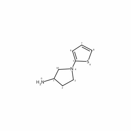 NC1CCN(c2cc[c]s2)C1